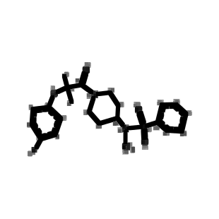 CC(C)(Oc1ccc(F)cc1)C(=O)N1CCC(N(C(F)(F)F)S(=O)(=O)c2ccccc2)CC1